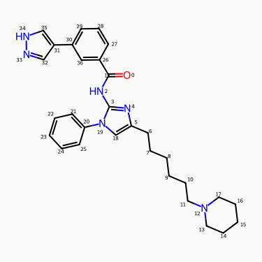 O=C(Nc1nc(CCCCCCN2CCCCC2)cn1-c1ccccc1)c1cccc(-c2cn[nH]c2)c1